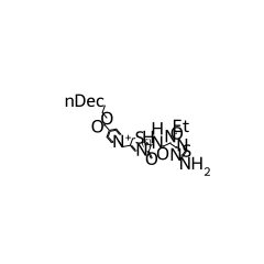 CCCCCCCCCCCCOC(=O)c1cc[n+](CC2=CN3C(=O)C(NC(=O)C(=NOCC)c4nsc(N)n4)[C@@H]3SC2)cc1